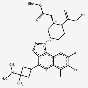 CN(C)C1(C)CN(c2nc3c(F)c(Br)c(I)cc3c3c2nnn3[C@H]2CCN(C(=O)OC(C)(C)C)[C@H](CC(=O)OC(C)(C)C)C2)C1